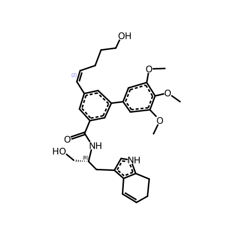 COc1cc(-c2cc(/C=C\CCCO)cc(C(=O)N[C@@H](CO)Cc3c[nH]c4c3C=CCC4)c2)cc(OC)c1OC